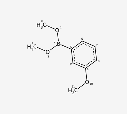 COB(OC)c1cccc(OC)c1